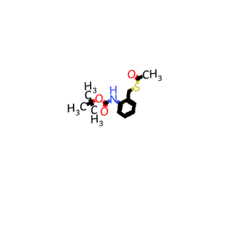 CC(=O)SCc1ccccc1NC(=O)OC(C)(C)C